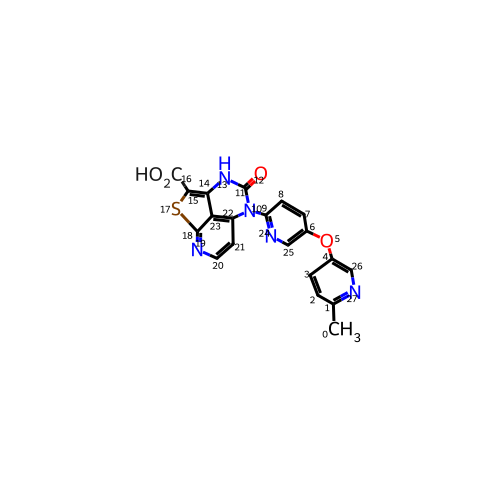 Cc1ccc(Oc2ccc(N3C(=O)Nc4c(C(=O)O)sc5nccc3c45)nc2)cn1